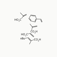 C=C(C)C(=O)O.C=C(C)C(=O)O.C=CC(=O)O.C=Cc1ccccc1.CCCCC=C(C)C(=O)O